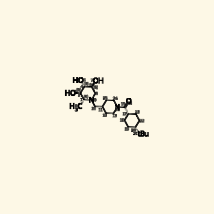 C[C@@H]1[C@@H](O)[C@H](O)[C@@H](O)CN1CC1CCN(C(=O)[C@H]2CC[C@@H](C(C)(C)C)CC2)CC1